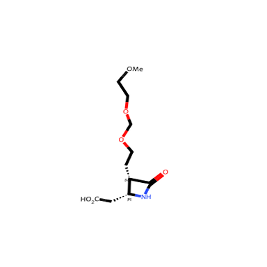 COCCOCOCC[C@@H]1C(=O)N[C@@H]1CC(=O)O